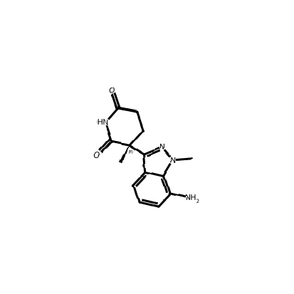 Cn1nc([C@@]2(C)CCC(=O)NC2=O)c2cccc(N)c21